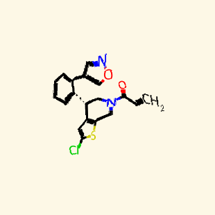 C=CC(=O)N1Cc2sc(Cl)cc2[C@H](c2ccccc2-c2cnoc2)C1